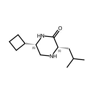 CC(C)C[C@@H]1NC[C@H](C2CCC2)NC1=O